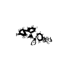 CS(=O)(=O)N[C@@H]1CCCN(C(=O)[C@@H]2C[C@H]2c2ccccc2-c2ccc(F)cc2)CC1